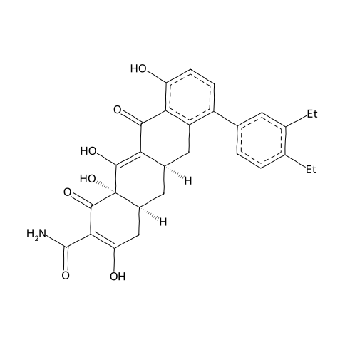 CCc1ccc(-c2ccc(O)c3c2C[C@H]2C[C@H]4CC(O)=C(C(N)=O)C(=O)[C@@]4(O)C(O)=C2C3=O)cc1CC